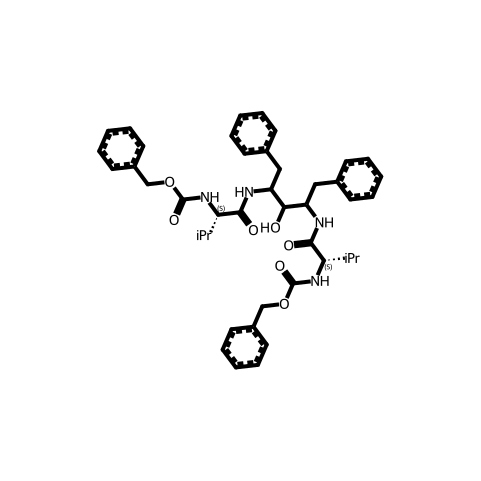 CC(C)[C@H](NC(=O)OCc1ccccc1)C(=O)NC(Cc1ccccc1)C(O)C(Cc1ccccc1)NC(=O)[C@@H](NC(=O)OCc1ccccc1)C(C)C